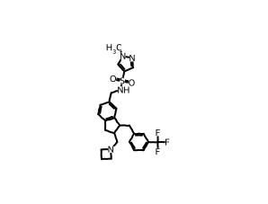 Cn1cc(S(=O)(=O)NCc2ccc3c(c2)C(Cc2cccc(C(F)(F)F)c2)C(CN2CCC2)C3)cn1